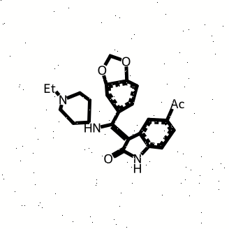 CCN1CCC(N/C(=C2\C(=O)Nc3ccc(C(C)=O)cc32)c2ccc3c(c2)OCO3)CC1